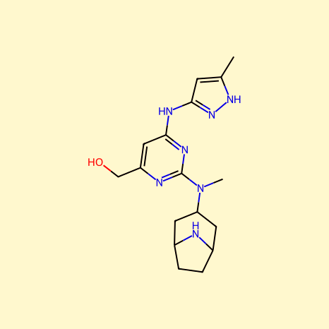 Cc1cc(Nc2cc(CO)nc(N(C)C3CC4CCC(C3)N4)n2)n[nH]1